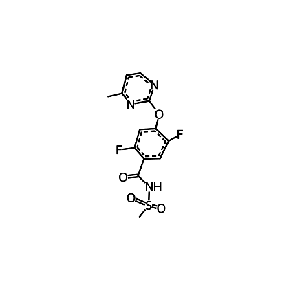 Cc1ccnc(Oc2cc(F)c(C(=O)NS(C)(=O)=O)cc2F)n1